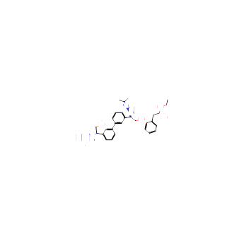 CCOC(=O)Cc1ccccc1OCc1nn(C(C)C)c2ccc(-c3cccc4c3OCC4N)cc12